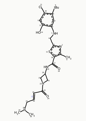 Cc1nc(CNc2cc(C(C)(C)C)c(Cl)cc2O)sc1C(=O)NC1CN(C(=O)/C=C/CN(C)C)C1